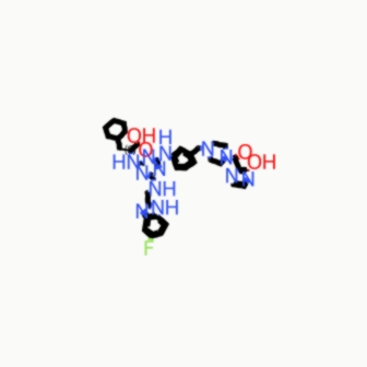 O=C(O)[C@H](CC1CCCCC1)Nc1nc(NCc2nc3cc(F)ccc3[nH]2)nc(Nc2cccc(CN3CCN(C(=O)c4nccnc4O)CC3)c2)n1